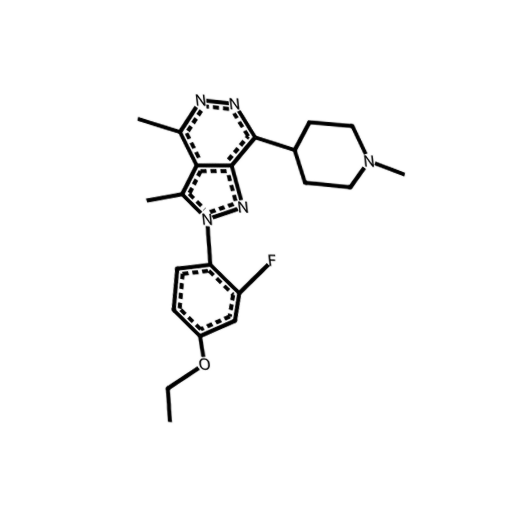 CCOc1ccc(-n2nc3c(C4CCN(C)CC4)nnc(C)c3c2C)c(F)c1